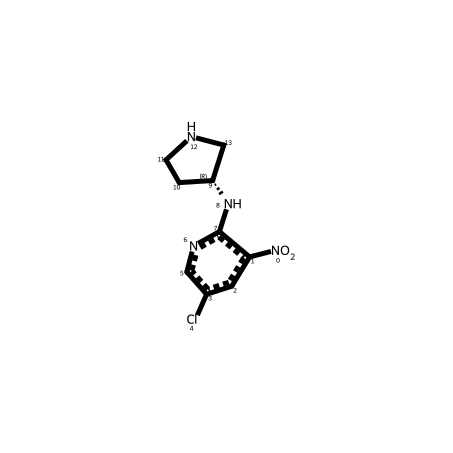 O=[N+]([O-])c1cc(Cl)cnc1N[C@@H]1CCNC1